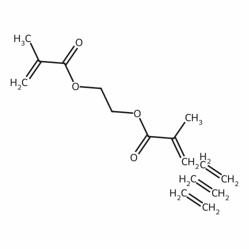 C=C.C=C.C=C.C=C(C)C(=O)OCCOC(=O)C(=C)C